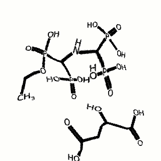 CCOP(=O)(O)C(NC(P(=O)(O)O)P(=O)(O)O)P(=O)(O)O.O=C(O)CC(O)C(=O)O